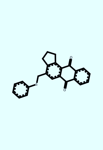 O=C1c2ccccc2C(=O)c2c1cc(CSc1ccccc1)c1c2CCC1